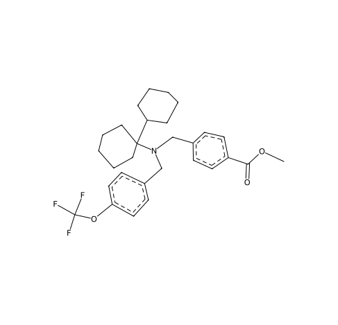 COC(=O)c1ccc(CN(Cc2ccc(OC(F)(F)F)cc2)C2(C3CCCCC3)CCCCC2)cc1